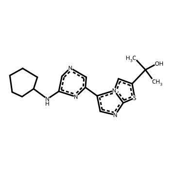 CC(C)(O)c1cn2c(-c3cncc(NC4CCCCC4)n3)cnc2s1